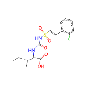 CCC(C)C(NC(=O)NS(=O)(=O)C=Cc1ccccc1Cl)C(=O)O